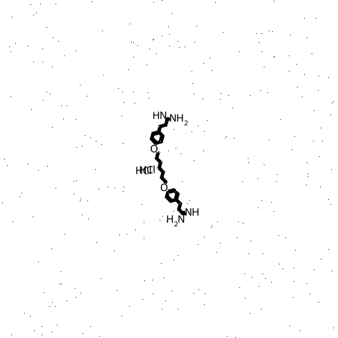 Cl.Cl.N=C(N)CCc1ccc(OCCCCCCCOc2ccc(CCC(=N)N)cc2)cc1